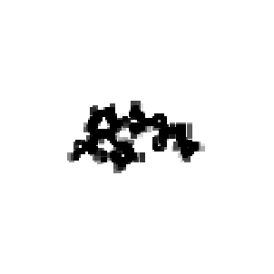 COC(=O)c1cccc(N2CC(OC(=O)NC3CC3)C2)c1-n1cccc1